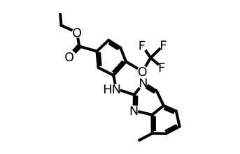 CCOC(=O)c1ccc(OC(F)(F)F)c(Nc2ncc3cccc(C)c3n2)c1